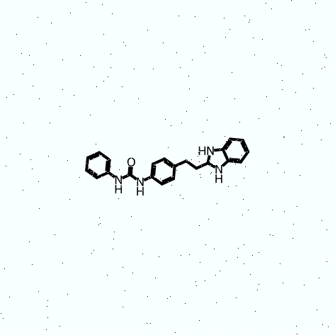 O=C(Nc1ccccc1)Nc1ccc(CCC2Nc3ccccc3N2)cc1